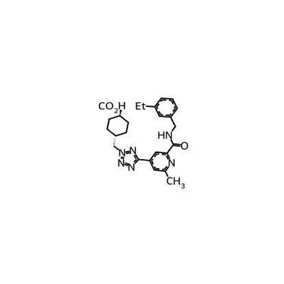 CCc1cccc(CNC(=O)c2cc(-c3nnn(C[C@H]4CC[C@H](C(=O)O)CC4)n3)cc(C)n2)c1